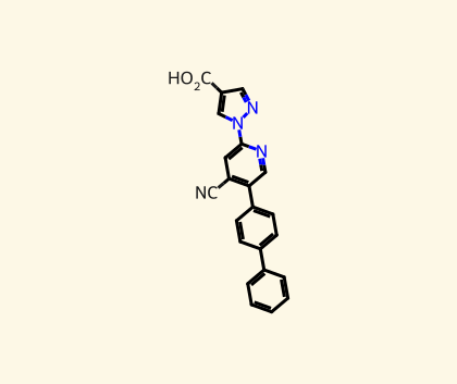 N#Cc1cc(-n2cc(C(=O)O)cn2)ncc1-c1ccc(-c2ccccc2)cc1